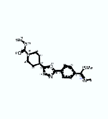 C/N=C(\SC)c1ccc(-c2nnc(C3CCN(C(=O)OC(C)(C)C)CC3)o2)cc1